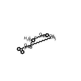 CCCCCCCCCCCCCCN(Cc1ccc(OCCCC(=O)NCc2ccc(C)cc2)cc1OC)C(=O)CNC(=O)OCC1c2ccccc2-c2ccccc21